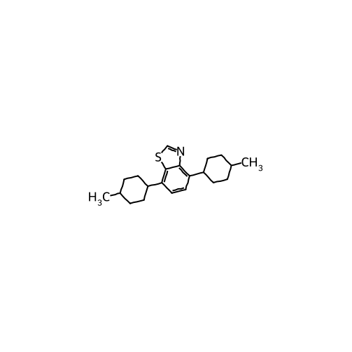 CC1CCC(c2ccc(C3CCC(C)CC3)c3scnc23)CC1